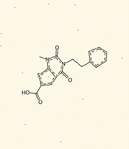 Cn1c(=O)n(CCc2ccccc2)c(=O)c2cc(C(=O)O)sc21